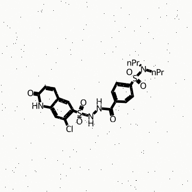 CCCN(CCC)S(=O)(=O)c1ccc(C(=O)NNS(=O)(=O)c2cc3c[c]c(=O)[nH]c3cc2Cl)cc1